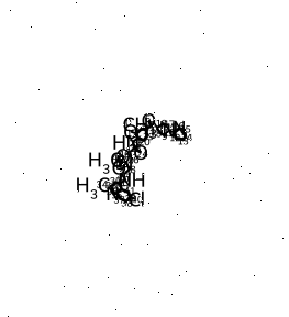 COc1cc(C(=O)N2CCN(c3ccccn3)CC2)ccc1NC(=O)CCN(CCNc1cc(C)nc2ccc(Cl)cc12)S(C)(=O)=O